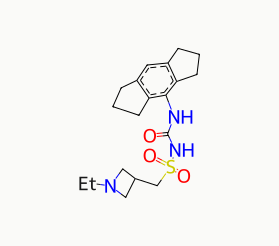 CCN1CC(CS(=O)(=O)NC(=O)Nc2c3c(cc4c2CCC4)CCC3)C1